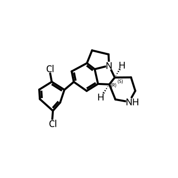 Clc1ccc(Cl)c(-c2cc3c4c(c2)[C@@H]2CNCC[C@@H]2N4CC3)c1